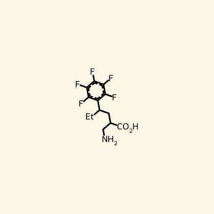 CCC(CC(CN)C(=O)O)c1c(F)c(F)c(F)c(F)c1F